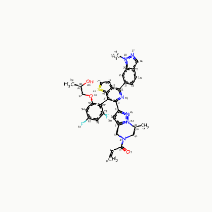 C=CC(=O)N1Cc2cc(-c3nc(-c4ccc5cnn(C)c5c4)c4ccsc4c3-c3c(F)cc(F)cc3OC[C@@H](C)O)nn2[C@@H](C)C1